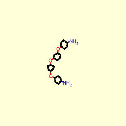 Nc1ccc(Oc2ccc(Oc3cccc(Oc4ccc(N)cc4)c3)cc2)cc1